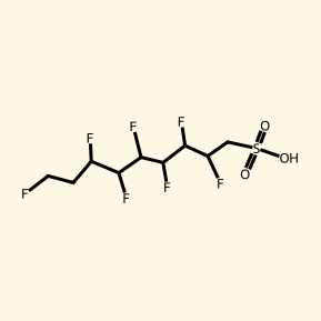 O=S(=O)(O)CC(F)C(F)C(F)C(F)C(F)C(F)CCF